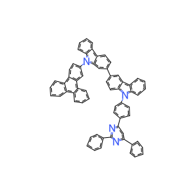 c1ccc(-c2cc(-c3ccc(-n4c5ccccc5c5cc(-c6ccc7c8ccccc8n(-c8ccc9c%10ccccc%10c%10ccccc%10c9c8)c7c6)ccc54)cc3)nc(-c3ccccc3)n2)cc1